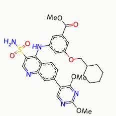 COC(=O)c1cc(Nc2c(S(N)(=O)=O)cnc3cc(-c4cnc(OC)nc4OC)ccc23)cc(OCC2CCCCC2)c1